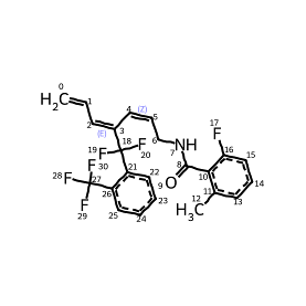 C=C/C=C(\C=C/CNC(=O)c1c(C)cccc1F)C(F)(F)c1ccccc1C(F)(F)F